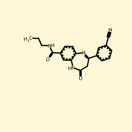 CCCNC(=O)c1ccc2c(c1)NC(=O)CC(c1cccc(C#N)c1)=N2